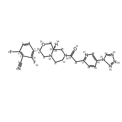 N#Cc1c(F)ccc([C@H]2CN3CCN(C(=O)Cc4ccc(-n5cnnn5)cn4)C[C@H]3CO2)c1F